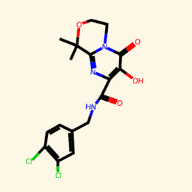 CC1(C)OCCn2c1nc(C(=O)NCc1ccc(Cl)c(Cl)c1)c(O)c2=O